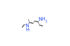 C=CN/C(C)=C/C=C(/N)C=C